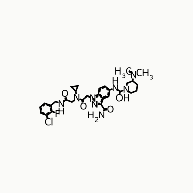 CN(C)C1CCCN(C(O)Nc2ccc3c(c2)c(C(N)=O)nn3CC(=O)N(CC(=O)NCc2cccc(Cl)c2F)C2CC2)C1